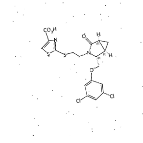 O=C(O)c1csc(SCCN2C(=O)[C@H]3C[C@H]3[C@@H]2COc2cc(Cl)cc(Cl)c2)n1